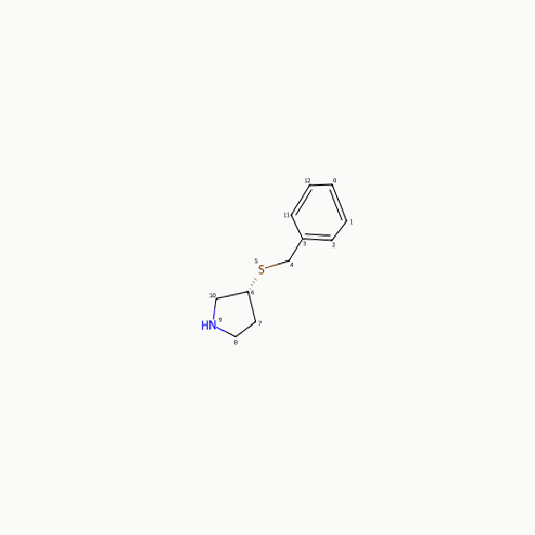 c1ccc(CS[C@@H]2CCNC2)cc1